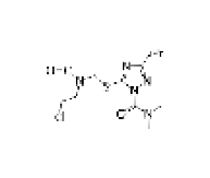 CC(C)c1nc(SCN(C=O)CCCl)n(C(=O)N(C)C)n1